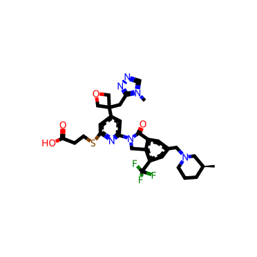 C[C@H]1CCCN(Cc2cc3c(c(C(F)(F)F)c2)CN(c2cc(C4(Cc5nncn5C)COC4)cc(SCCC(=O)O)n2)C3=O)C1